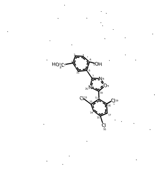 O=C(O)c1ccc(O)c(-c2noc(-c3c(Cl)cc(Cl)cc3Cl)n2)c1